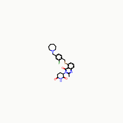 Cc1nc2cccc(SCc3ccc(CN4CCCCCC4)cc3F)c2c(=O)n1C1CCC(=O)NC1=O